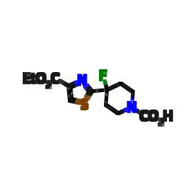 CCOC(=O)c1csc(C2(F)CCN(C(=O)O)CC2)n1